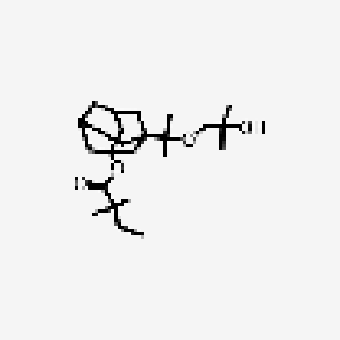 CCC(C)(C)C(=O)OC12CC3CC(C1)CC(C(C)(C)OCC(C)(C)O)(C3)C2